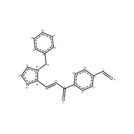 O=Cc1ccc(C(=O)C=Cc2nccn2Cc2ccccc2)cc1